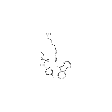 CCOC(=O)Nc1ccc(C)cc1.OCCCCC#CC#CCn1c2ccccc2c2ccccc21